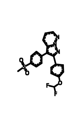 CS(=O)(=O)c1ccc(-c2c(-c3ccc(OC(F)F)cc3)nn3ncccc23)cc1